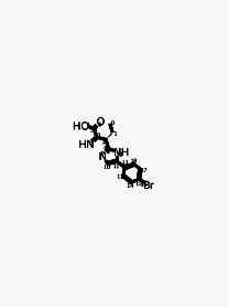 CC[C@@H](C(=N)C(=O)O)c1ncc(-c2ccc(Br)cc2)[nH]1